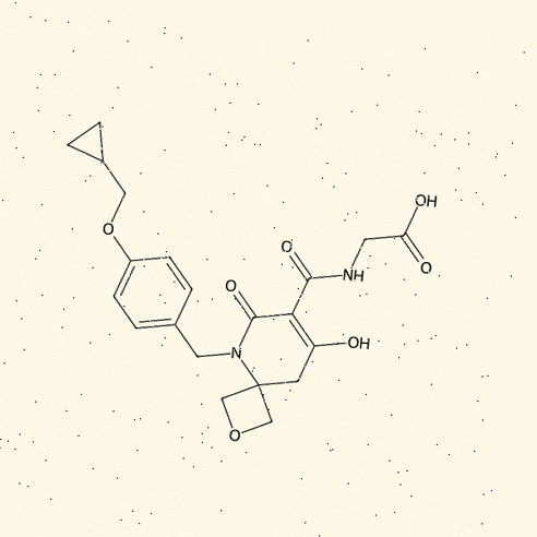 O=C(O)CNC(=O)C1=C(O)CC2(COC2)N(Cc2ccc(OCC3CC3)cc2)C1=O